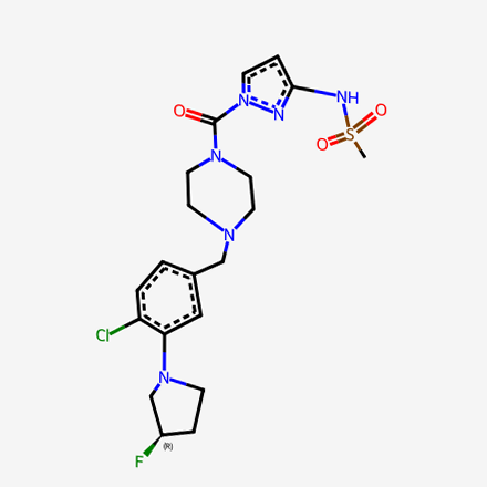 CS(=O)(=O)Nc1ccn(C(=O)N2CCN(Cc3ccc(Cl)c(N4CC[C@@H](F)C4)c3)CC2)n1